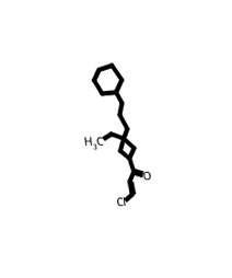 CCC1(CCCC2CCCCC2)CC(C(=O)C=CCl)C1